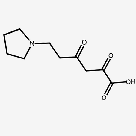 O=C(CCN1CCCC1)CC(=O)C(=O)O